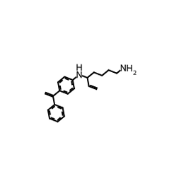 C=CC(CCCCN)Nc1ccc(C(=C)c2ccccc2)cc1